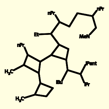 CCCC(CCC(CCC)C(CC)C1CC(C(C(C)CC)C(C(C)C)C(C)CCC)C1C1C(CCC)C(C)C1C1CCC1C)CNC